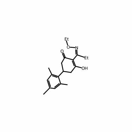 CCO/N=C(/CC)C1=C(O)CC(c2c(C)cc(C)cc2C)CC1=O